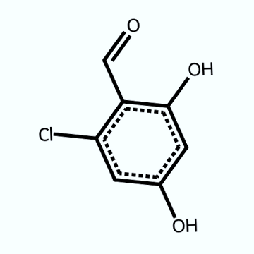 O=Cc1c(O)cc(O)cc1Cl